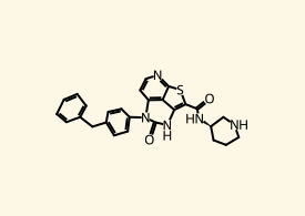 O=C(N[C@@H]1CCCNC1)c1sc2nccc3c2c1NC(=O)N3c1ccc(Cc2ccccc2)cc1